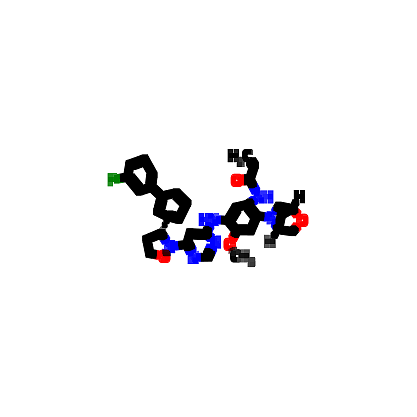 C=CC(=O)Nc1cc(Nc2cc(N3OCC[C@@H]3c3cccc(-c4cccc(F)c4)c3)ncn2)c(OC)cc1N1C[C@H]2C[C@@H]1CO2